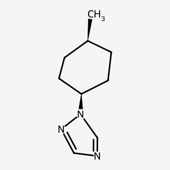 C[C@H]1CC[C@@H](n2cncn2)CC1